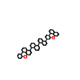 c1ccc2c(c1)Oc1ccc(-c3cccc4c(-c5cccc6c(-c7ccc8c(c7)Oc7cccc9cccc-8c79)cccc56)cccc34)c3cccc-2c13